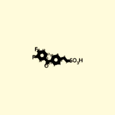 O=C(c1ccc(CCS(=O)(=O)O)cc1)c1ccc(F)c(F)c1